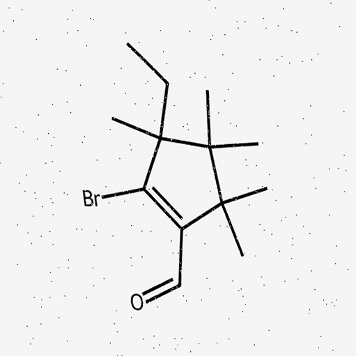 CCC1(C)C(Br)=C(C=O)C(C)(C)C1(C)C